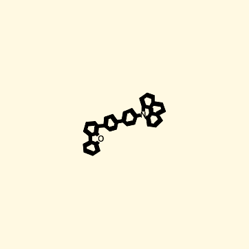 c1ccc2c(c1)oc1c(-c3ccc(-c4ccc(-n5c6cccc7ccc8cccc5c8c76)cc4)cc3)cccc12